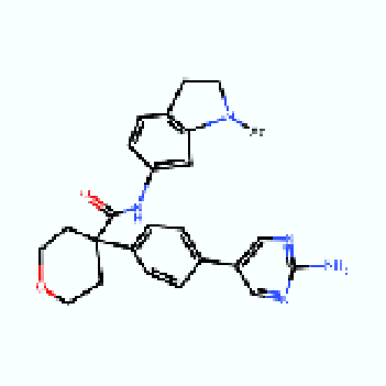 CC(=O)N1CCc2ccc(NC(=O)C3(c4ccc(-c5cnc(N)nc5)cc4)CCOCC3)cc21